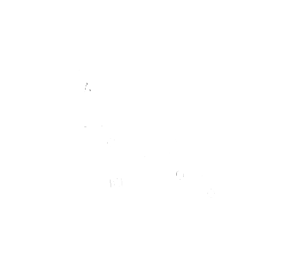 Cc1c(C)c2ccc(OCCC(C)N(C)C)c(C)c2oc1=O.Cl